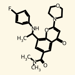 CC(Nc1ccc(F)cc1)c1cc(C(=O)N(C)C)cc2c(=O)cc(N3CCOCC3)oc12